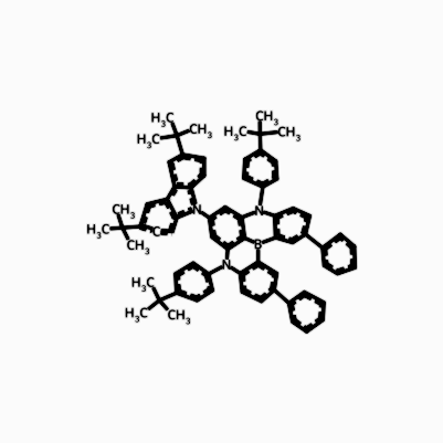 CC(C)(C)c1ccc(N2c3ccc(-c4ccccc4)cc3B3c4cc(-c5ccccc5)ccc4N(c4ccc(C(C)(C)C)cc4)c4cc(-n5c6ccc(C(C)(C)C)cc6c6cc(C(C)(C)C)ccc65)cc2c43)cc1